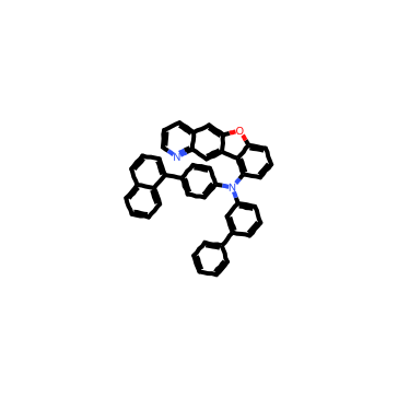 c1ccc(-c2cccc(N(c3ccc(-c4cccc5ccccc45)cc3)c3cccc4oc5cc6cccnc6cc5c34)c2)cc1